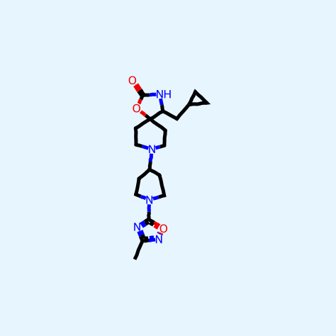 Cc1noc(N2CCC(N3CCC4(CC3)OC(=O)NC4CC3CC3)CC2)n1